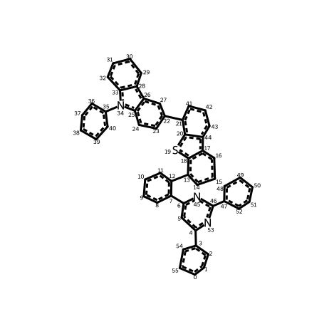 c1ccc(-c2cc(-c3ccccc3-c3cccc4c3sc3c(-c5ccc6c(c5)c5ccccc5n6-c5ccccc5)cccc34)nc(-c3ccccc3)n2)cc1